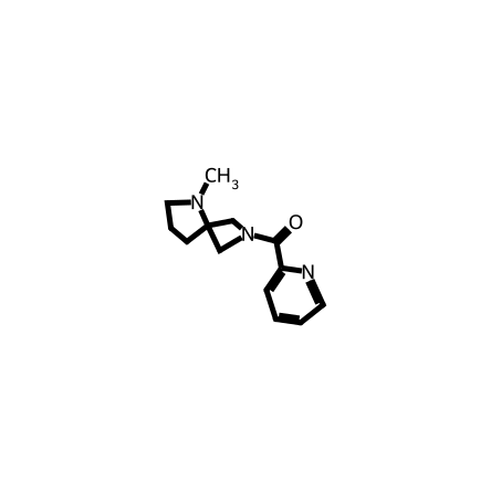 CN1CCCC12CN(C(=O)c1ccccn1)C2